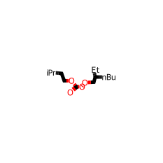 CCCCC(CC)COOC(=O)OCCC(C)C